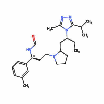 CCC(CC1CCCN1CC[C@H](NC=O)c1cccc(C)c1)n1c(C)nnc1C(C)C